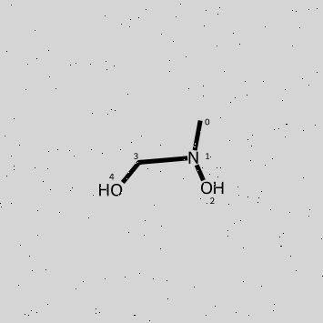 CN(O)CO